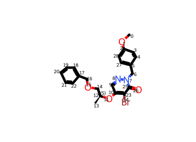 COc1ccc(Cn2ncc(O[C@@H](C)COCc3ccccc3)c(Br)c2=O)cc1